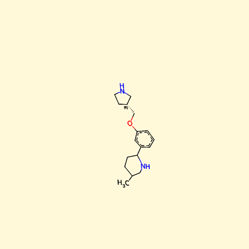 CC1CCC(c2cccc(OC[C@@H]3CCNC3)c2)NC1